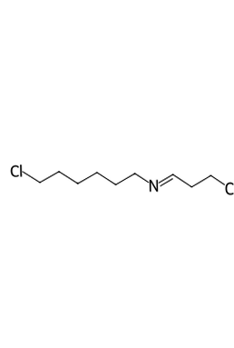 ClCCC=NCCCCCCCl